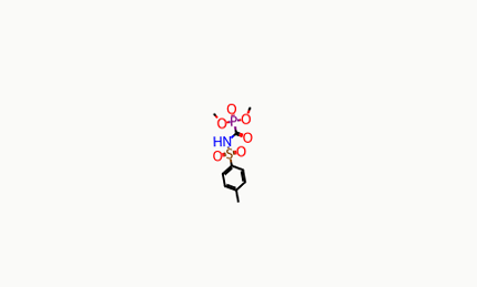 COP(=O)(OC)C(=O)NS(=O)(=O)c1ccc(C)cc1